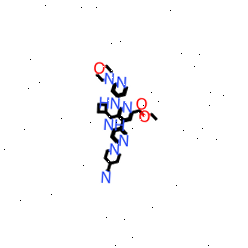 CCOC(=O)c1cc(-c2ccc(N3CCC(C#N)CC3)nc2)c(C(=N)C2CCC2)c(Nc2ccnc(N3CCOCC3)c2)n1